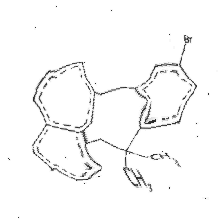 CC1(C)c2ccc(Br)cc2-c2cccc3cccc1c23